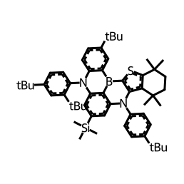 CC(C)(C)c1ccc(N2c3cc([Si](C)(C)C)cc4c3B(c3cc(C(C)(C)C)ccc3N4c3ccc(C(C)(C)C)cc3C(C)(C)C)c3sc4c(c32)C(C)(C)CCC4(C)C)cc1